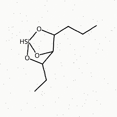 CCCC1O[SiH]2OC(CC)C1O2